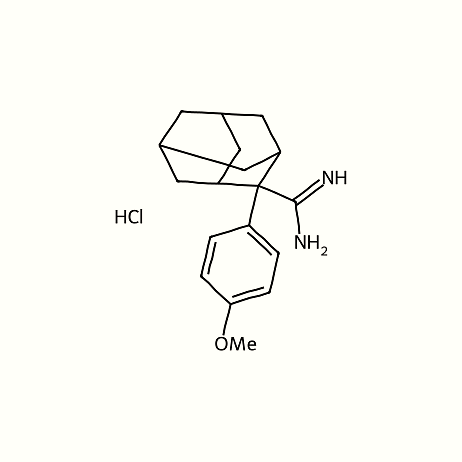 COc1ccc(C2(C(=N)N)C3CC4CC(C3)CC2C4)cc1.Cl